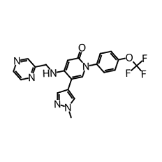 Cn1cc(-c2cn(-c3ccc(OC(F)(F)F)cc3)c(=O)cc2NCc2cnccn2)cn1